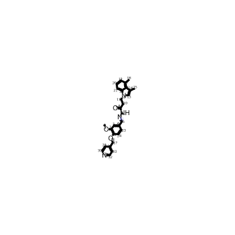 COc1cc(/C=N/NC(=O)CCn2cc(C)c3c(C)cccc32)ccc1OCc1ccncc1